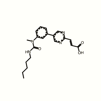 CCCCCNC(=O)N(C)c1cccc(-c2cnc(C=CC(=O)O)nc2)c1